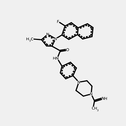 CC(=N)N1CCN(c2ccc(NC(=O)c3cc(C)nn3-c3cc4ccccc4cc3F)cc2)CC1